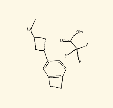 CNC1CC(c2ccc3c(c2)CC3)C1.O=C(O)C(F)(F)F